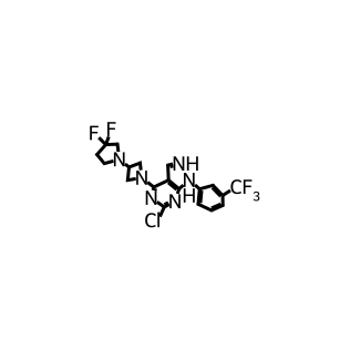 N=Cc1c(Nc2cccc(C(F)(F)F)c2)nc(Cl)nc1N1CC(N2CCC(F)(F)C2)C1